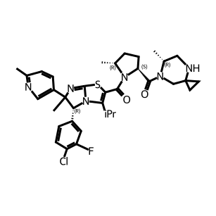 Cc1ccc(C2(C)N=C3SC(C(=O)N4[C@H](C)CC[C@H]4C(=O)N4CC5(CC5)NC[C@H]4C)=C(C(C)C)N3[C@@H]2c2ccc(Cl)c(F)c2)cn1